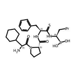 CC(C)C[C@H](NC(=S)[C@H](Cc1ccccc1)NC(=O)[C@@H]1CCCN1C(=O)[C@@H](N)C1CCCCC1)B(O)O